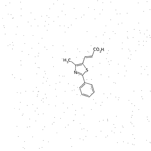 Cc1nc(-c2ccccc2)sc1C=CC(=O)O